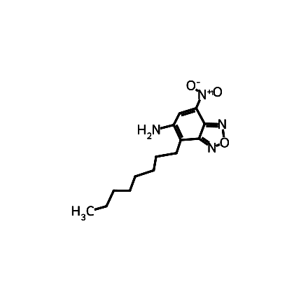 CCCCCCCCc1c(N)cc([N+](=O)[O-])c2nonc12